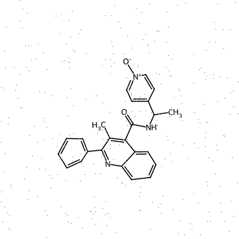 Cc1c(-c2ccccc2)nc2ccccc2c1C(=O)NC(C)c1cc[n+]([O-])cc1